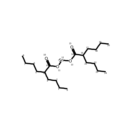 CCCCC(CCCC)C(=O)[O][Sn][O]C(=O)C(CCCC)CCCC